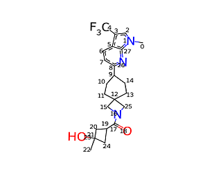 Cn1cc(C(F)(F)F)c2ccc(C3CCC4(CC3)CN(C(=O)C3CC(C)(O)C3)C4)nc21